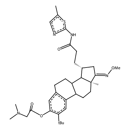 CO/N=C1\C[C@@H](CCC(=O)Nc2ncc(C)s2)C2C3CCc4cc(OC(=O)CN(C)C)c(C(C)(C)C)cc4C3CC[C@]12C